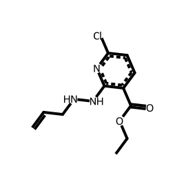 C=CCNNc1nc(Cl)ccc1C(=O)OCC